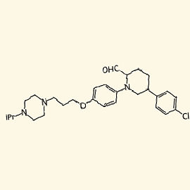 CC(C)N1CCN(CCCOc2ccc(N3CC(c4ccc(Cl)cc4)CCC3C=O)cc2)CC1